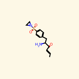 CC=CC(=O)C(N)Cc1ccc(S(=O)(=O)N2CC2)cc1